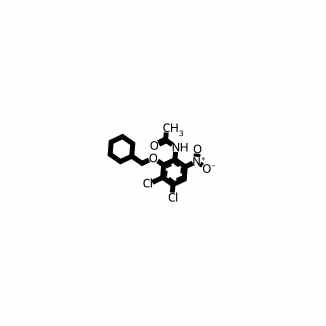 CC(=O)Nc1c([N+](=O)[O-])cc(Cl)c(Cl)c1OCC1CCCCC1